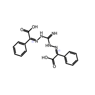 N=C(N/N=C(\C(=O)O)c1ccccc1)N/N=C(\C(=O)O)c1ccccc1